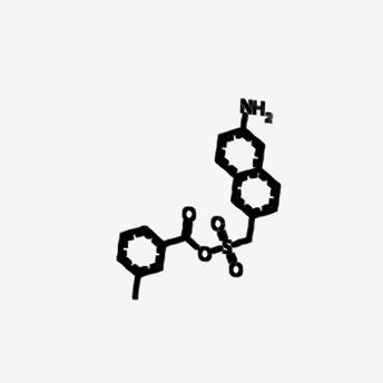 Cc1cccc(C(=O)OS(=O)(=O)Cc2ccc3cc(N)ccc3c2)c1